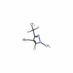 Cn1nc(C(F)(F)C(F)(F)F)c(C(C)(C)C)c1Cl